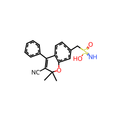 CC1(C)Oc2cc(CS(=N)(=O)O)ccc2C(c2ccccc2)=C1C#N